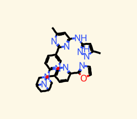 Cc1cc(Nc2cc(C)[nH]n2)nc(-c2ccc(N3CC4CC(C3)N4Cc3ccc(-c4ncco4)nc3)nc2)n1